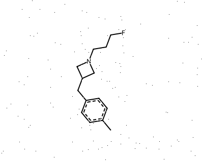 Cc1ccc(CC2CN(CCCF)C2)cc1